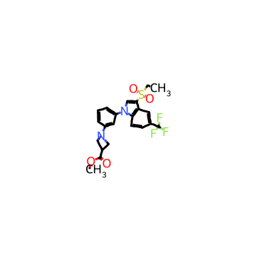 CCS(=O)(=O)c1cn(-c2cccc(N3CC(C(=O)OC)C3)c2)c2ccc(C(F)(F)F)cc12